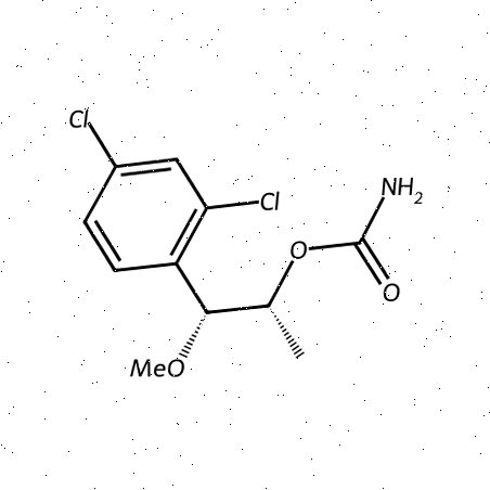 CO[C@H](c1ccc(Cl)cc1Cl)[C@@H](C)OC(N)=O